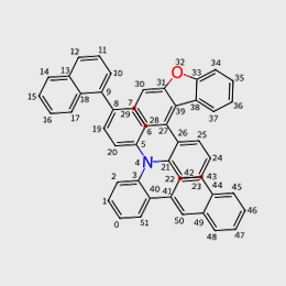 c1ccc(N(c2ccc(-c3cccc4ccccc34)cc2)c2ccccc2-c2cccc3oc4ccccc4c23)c(-c2ccc3ccccc3c2)c1